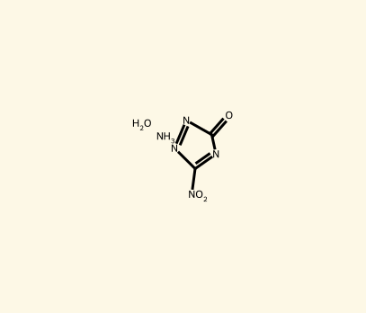 N.O.O=C1N=NC([N+](=O)[O-])=N1